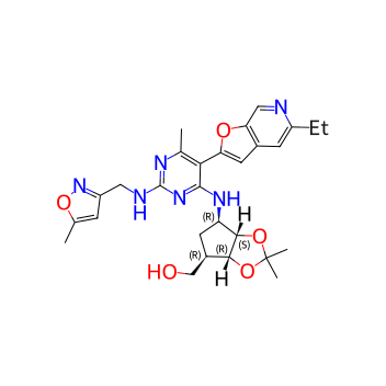 CCc1cc2cc(-c3c(C)nc(NCc4cc(C)on4)nc3N[C@@H]3C[C@H](CO)[C@H]4OC(C)(C)O[C@H]43)oc2cn1